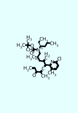 C=CC(=O)C(C)=C=C(C(=C)C[C@@H](C)CN(C(=O)OC(C)(C)C)[C@@H](CC)CCC)c1nc(Cl)ccc1C